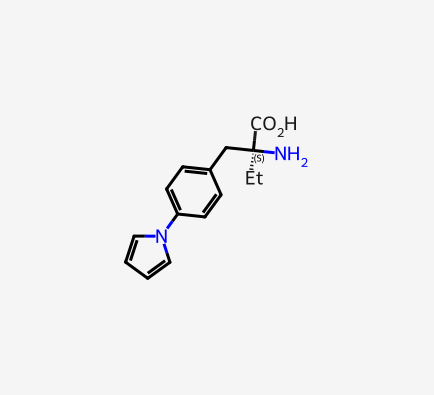 CC[C@](N)(Cc1ccc(-n2cccc2)cc1)C(=O)O